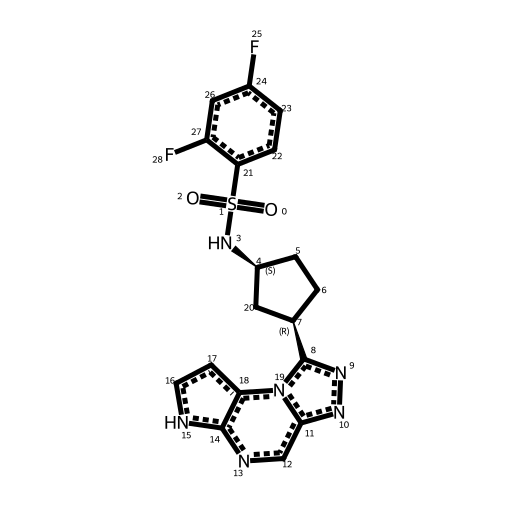 O=S(=O)(N[C@H]1CC[C@@H](c2nnc3cnc4[nH]ccc4n23)C1)c1ccc(F)cc1F